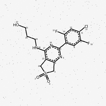 O=S1(=O)Cc2nc(-c3cc(F)c(Cl)cc3F)nc(NCCCO)c2C1